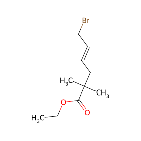 CCOC(=O)C(C)(C)C/C=C/CBr